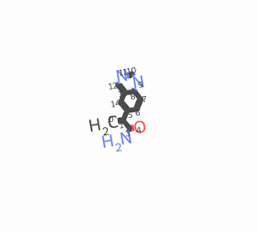 C=C(C(N)=O)c1ccc2ncncc2c1